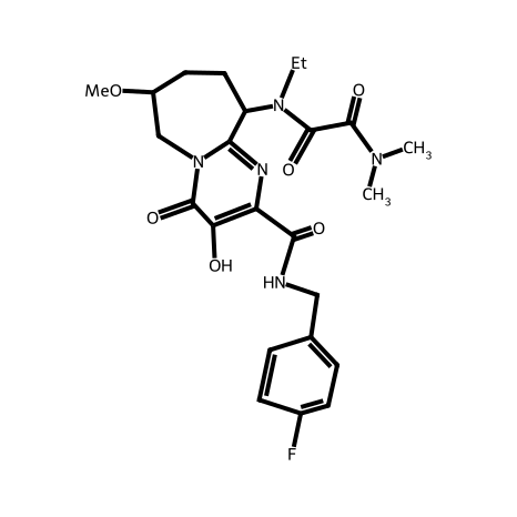 CCN(C(=O)C(=O)N(C)C)C1CCC(OC)Cn2c1nc(C(=O)NCc1ccc(F)cc1)c(O)c2=O